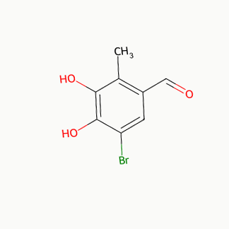 Cc1c(C=O)cc(Br)c(O)c1O